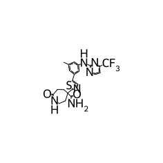 Cc1cc(Nc2nccc(C(F)(F)F)n2)cc(-c2cnc(C3(C(N)=O)CCNC(=O)CC3)s2)c1